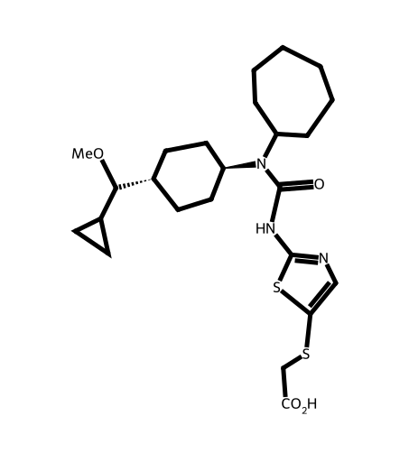 COC(C1CC1)[C@H]1CC[C@H](N(C(=O)Nc2ncc(SCC(=O)O)s2)C2CCCCCC2)CC1